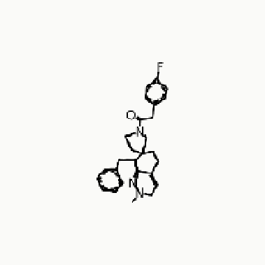 CN1CC=C2CCC3(CCN(C(=O)Cc4ccc(F)cc4)C3)C(Cc3ccccc3)C2=N1